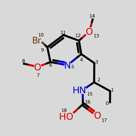 CCC(Cc1nc(OC)c(Br)cc1OC)NC(=O)O